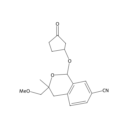 COCC1(C)Cc2ccc(C#N)cc2C(OC2CCC(=O)C2)O1